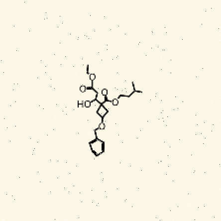 CCOC(=O)CC(O)C1(C(=O)OCCC(C)C)CC(OCc2ccccc2)C1